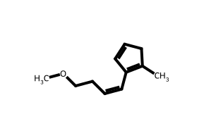 COCC/C=C\C1=C(C)CC=C1